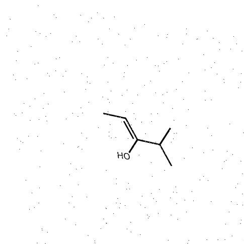 CC=C(O)C(C)C